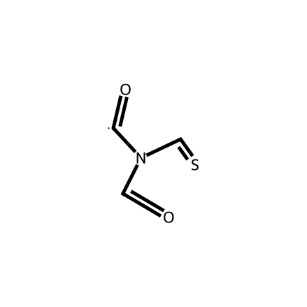 O=[C]N(C=O)C=S